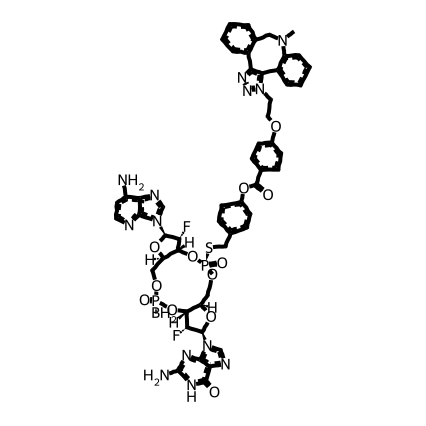 B[P@]1(=O)OC[C@H]2O[C@@H](n3cnc4c(N)ccnc43)[C@H](F)[C@@H]2O[P@@](=O)(SCc2ccc(OC(=O)c3ccc(OCCn4nnc5c4-c4ccccc4N(C)Cc4ccccc4-5)cc3)cc2)OC[C@H]2O[C@@H](n3cnc4c(=O)[nH]c(N)nc43)[C@H](F)[C@@H]2O1